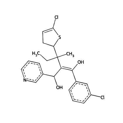 CCC(C)(/C(=C(\O)c1cccc(Cl)c1)C(O)c1cccnc1)C1CC=C(Cl)S1